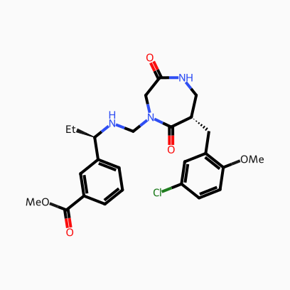 CC[C@@H](NCN1CC(=O)NC[C@H](Cc2cc(Cl)ccc2OC)C1=O)c1cccc(C(=O)OC)c1